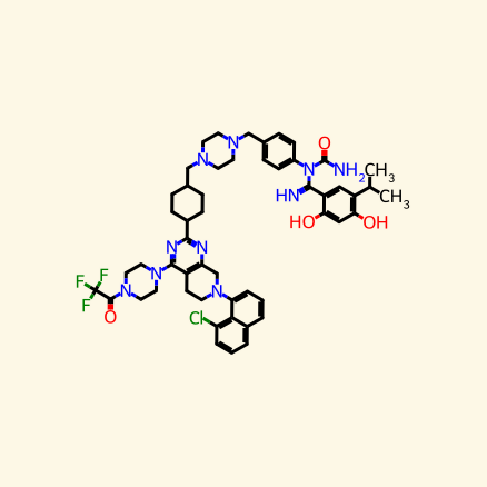 CC(C)c1cc(C(=N)N(C(N)=O)c2ccc(CN3CCN(CC4CCC(c5nc6c(c(N7CCN(C(=O)C(F)(F)F)CC7)n5)CCN(c5cccc7cccc(Cl)c57)C6)CC4)CC3)cc2)c(O)cc1O